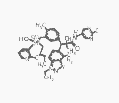 CCC1CN(Cc2cc(C(c3ccc4c(nnn4CC)c3C)C(C)(C)C(=O)Nc3cnc(Cl)nc3)ccc2C)S(O)(O)c2cccnc2O1